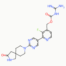 N=C(N)NC(=O)OCc1ccnc(-c2cnc(N3CCC4(CC3)CNC(=O)C4)nc2)c1F